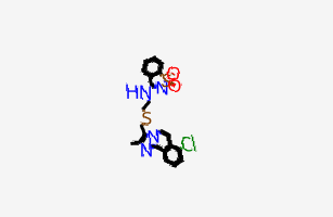 Cc1nc2c3cccc(Cl)c3ccn2c1CSCCNC1=NS(=O)(=O)c2ccccc21